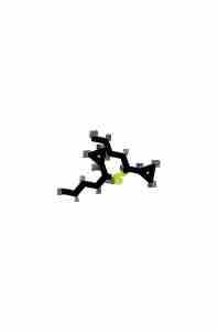 CCCCC(SC(CCCC)C1CC1)C1CC1